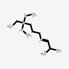 CC[Si](CCCN=CC(C)C)(OC)OC